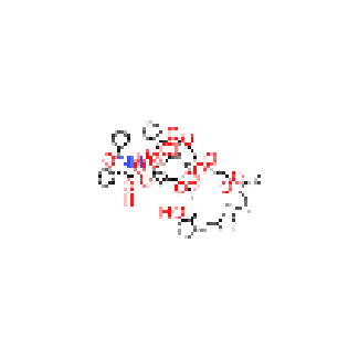 C=C1/C(=C\C=C2/CCC[C@@]3(C)C2CCC3[C@@H](C)/C=C/C(OC(=O)CCC(=O)OC2CC3OCC3(OC(C)=O)C3C(OC(=O)c4ccccc4)C4(O)CC(OC(=O)C(O)C(NC(=O)c5ccccc5)c5ccccc5)C(C)=C(C(OC(C)=O)C(=O)C23C)C4(C)C)C2CC2)CCC[C@@H]1O